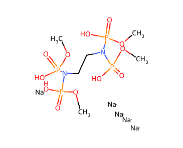 COP(=O)(O)N(CCN(P(=O)(O)OC)P(=O)(O)OC)P(=O)(O)OC.[Na].[Na].[Na].[Na].[Na]